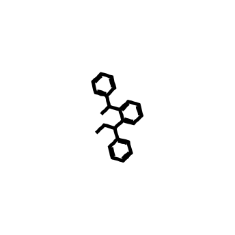 CCC(c1ccccc1)c1ccccc1C(C)c1ccccc1